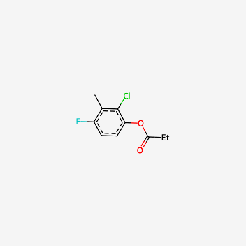 CCC(=O)Oc1ccc(F)c(C)c1Cl